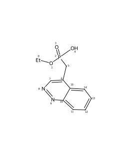 CCOP(=O)(O)Cc1cnnc2ccccc12